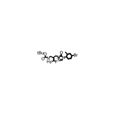 Cc1cc(Br)ccc1-n1cnn(CC(CNC(=O)OC(C)(C)C)=C(F)F)c1=O